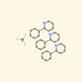 [F][Ir]([F])[F].c1ccc(-c2ccccn2)cc1.c1ccc(-c2ccccn2)cc1.c1ccc(-c2ccccn2)cc1